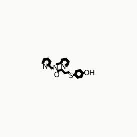 O=C(CCCSc1ccc(O)cc1)N(Cc1ccccn1)Cc1ccccn1